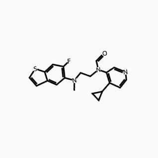 CN(CCN(C=O)c1cnccc1C1CC1)c1cc2ccsc2cc1F